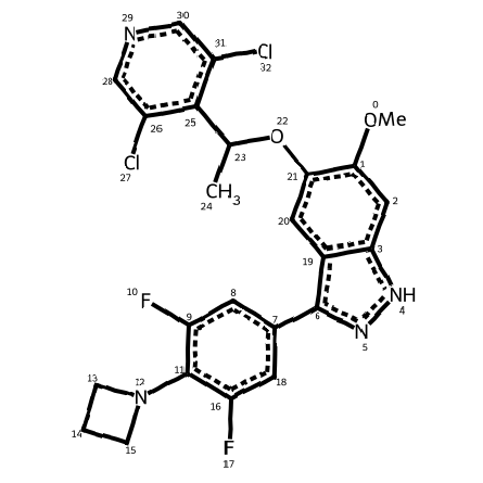 COc1cc2[nH]nc(-c3cc(F)c(N4CCC4)c(F)c3)c2cc1OC(C)c1c(Cl)cncc1Cl